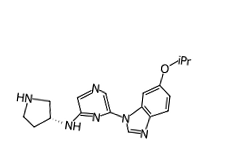 CC(C)Oc1ccc2ncn(-c3cncc(N[C@@H]4CCNC4)n3)c2c1